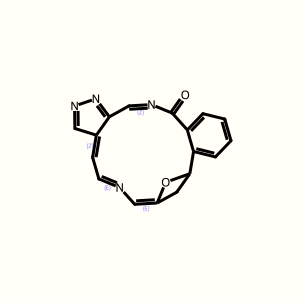 O=C1/N=C\C2=NN=C/C2=C/C=N/C=C2\CC(O2)c2ccccc21